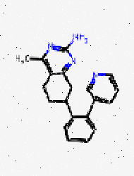 Cc1nc(N)nc2c1CCC(c1ccccc1-c1cccnc1)C2